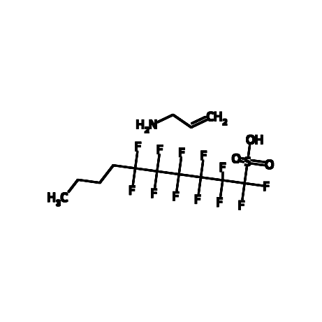 C=CCN.CCCCC(F)(F)C(F)(F)C(F)(F)C(F)(F)C(F)(F)C(F)(F)S(=O)(=O)O